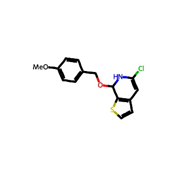 COc1ccc(COC2NC(Cl)=Cc3ccsc32)cc1